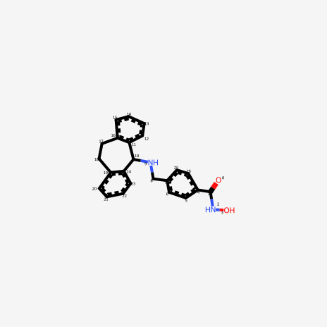 O=C(NO)c1ccc(CNC2c3ccccc3CCc3ccccc32)cc1